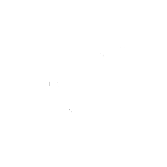 CCO[Si](CCC([SiH3])NC(C)CC(C)C)(OCC)OCC